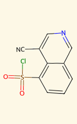 N#Cc1cncc2cccc(S(=O)(=O)Cl)c12